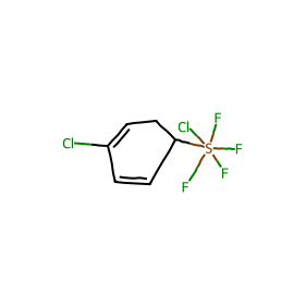 FS(F)(F)(F)(Cl)C1C=CC(Cl)=CC1